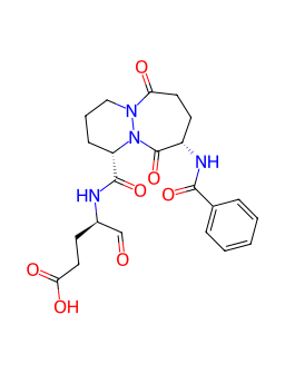 O=C[C@@H](CCC(=O)O)NC(=O)[C@@H]1CCCN2C(=O)CC[C@H](NC(=O)c3ccccc3)C(=O)N12